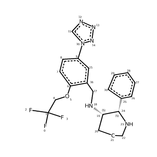 FC(F)(F)COc1ccc(-n2cnnn2)cc1CN[C@H]1CCCN[C@H]1c1ccccc1